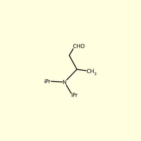 CC(C)N(C(C)C)C(C)CC=O